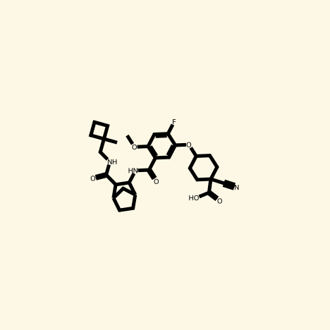 COc1cc(F)c(OC2CCC(C#N)(C(=O)O)CC2)cc1C(=O)NC1C2CCC(C2)C1C(=O)NCC1(C)CCC1